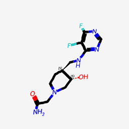 NC(=O)CN1CC[C@@H](CNc2ncnc(F)c2F)[C@H](O)C1